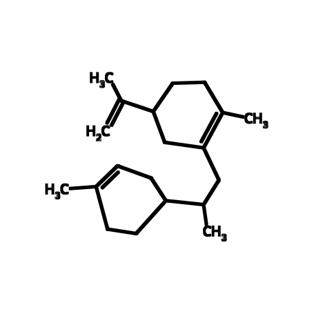 C=C(C)C1CCC(C)=C(CC(C)C2CC=C(C)CC2)C1